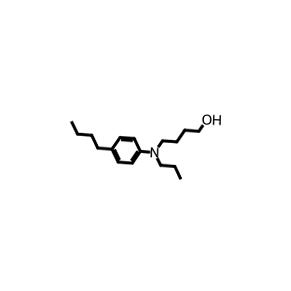 CCCCc1ccc(N(CCC)CCCCO)cc1